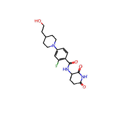 O=C1CCC(NC(=O)c2ccc(N3CCC(CCO)CC3)cc2F)C(=O)N1